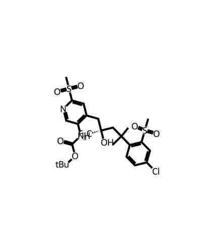 CC(C)(C)OC(=O)Nc1cnc(S(C)(=O)=O)cc1C[C@](O)(CC(C)(C)c1ccc(Cl)cc1S(C)(=O)=O)C(F)(F)F